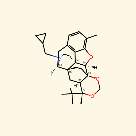 Cc1ccc2c3c1O[C@H]1[C@@]45CC[C@@]6(C[C@@H]4[C@@](C)(C(C)(C)C)OCO5)[C@@H](C2)N(CC2CC2)CC[C@]316